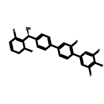 O[C@@H](C1=C(F)C=CCC1F)c1ccc(-c2ccc(-c3cc(F)c(F)c(F)c3)c(F)c2)cc1